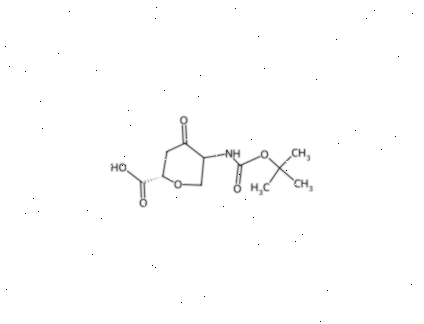 CC(C)(C)OC(=O)NC1CO[C@H](C(=O)O)CC1=O